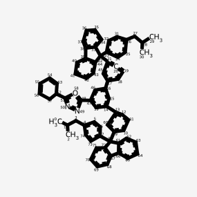 CC(C)Cc1ccc(C2(c3cccc(-c4cc(-c5cccc(C6(c7ccc(CC(C)C)cc7)c7ccccc7-c7ccccc76)c5)cc(-c5nnc(C6C=CC=CC6)o5)c4)c3)c3ccccc3-c3ccccc32)cc1